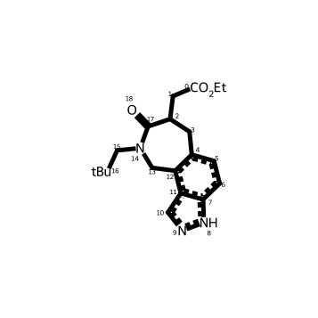 CCOC(=O)CC1Cc2ccc3[nH]ncc3c2CN(CC(C)(C)C)C1=O